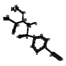 [C]#Cc1ccc(C(=O)N(C)C(CN)C(=O)O)cc1